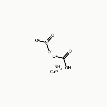 N.O=C([O-])O.O=[N+]([O-])[O-].[Ca+2]